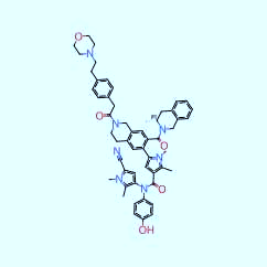 Cc1c(N(C(=O)c2cc(-c3cc4c(cc3C(=O)N3Cc5ccccc5C[C@H]3C)CN(C(=O)Cc3ccc(CCN5CCOCC5)cc3)CC4)n(C)c2C)c2ccc(O)cc2)cc(C#N)n1C